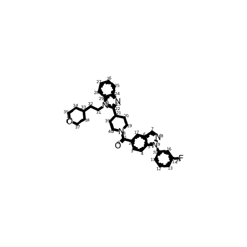 O=C(c1ccc2c(cnn2-c2cccc(F)c2)c1)N1CCC(c2nc3ccccc3n2CCC2CCOCC2)CC1